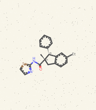 CCc1ccc2c(c1)[C@@H](c1ccccc1)[C@@](C)(C(=O)Nc1nccs1)C2